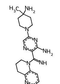 CC1(N)CCN(c2cnc(C(=N)N3CCCc4ncccc43)c(N)n2)CC1